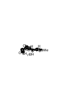 COCC(=O)Nc1ccc(C=CC(=O)NCC(=O)N(C)c2ccc(Cl)c(COc3cccn4c(Cl)c(C)nc34)c2Cl)cc1.Cl